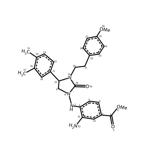 COC(=O)c1ccc(NN2CC(c3ccc(C)c(C)c3)N(CCc3ccc(OC)cc3)C2=O)c(N)c1